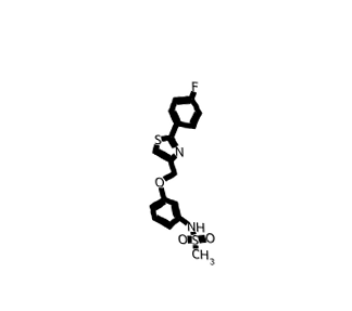 CS(=O)(=O)Nc1cccc(OCc2csc(-c3ccc(F)cc3)n2)c1